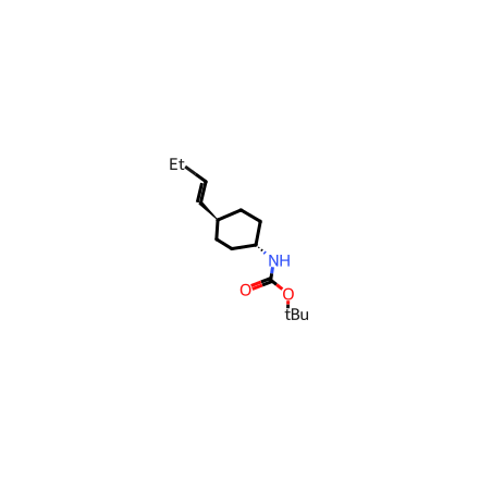 CC/C=C/[C@H]1CC[C@H](NC(=O)OC(C)(C)C)CC1